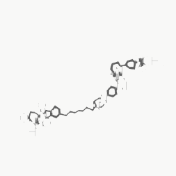 CS(=O)(=O)c1ccc(-c2cccc3nc(Nc4ccc(N5CCN(CCCCCCCc6ccc7c(c6)C(=O)N(C6CCC(=O)NC6=O)C7=O)CC5)cc4)nn23)cc1